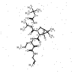 C=CCNC(=O)C(=O)[C@@H](CCC)NC(=O)[C@@H]1[C@@H]2C(CN1C(=O)[C@@H](NC(=O)OC(C)(C)C)C(C)C)C2(C)C